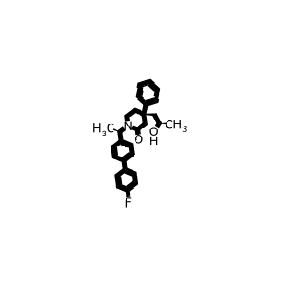 C[C@H](O)C[C@]1(c2ccccc2)CCN([C@@H](C)c2ccc(-c3ccc(F)cc3)cc2)C(=O)C1